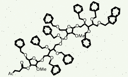 COC1C(OCC(OCc2ccccc2)C(OCc2ccccc2)C(COP(OCc2ccccc2)OC2C(COCc3ccccc3)OC(OCC(OCc3ccccc3)C(OCc3ccccc3)C(COCc3ccc4ccccc4c3)OCc3ccccc3)C2OC)OCc2ccccc2)OC(COCc2ccccc2)C1OC(=O)CCC(C)=O